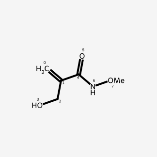 C=C(CO)C(=O)NOC